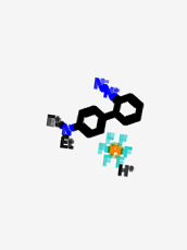 CCN(CC)c1ccc(C2C=CC=CC2=[N+]=[N-])cc1.F[P-](F)(F)(F)(F)F.[H+]